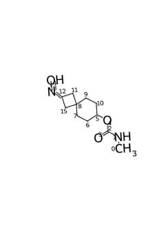 CNC(=O)OC1CCC2(CC1)CC(=NO)C2